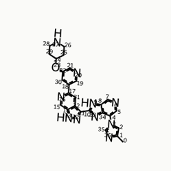 Cc1cn(-c2cncc3[nH]c(-c4n[nH]c5cnc(-c6cncc(OC7CCNCC7)c6)cc45)nc23)cn1